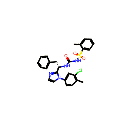 Cc1ccc(-n2ccnc2[C@H](Cc2ccccc2)NC(=O)NS(=O)(=O)c2ccccc2C)cc1Cl